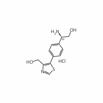 Cl.N[C@@H](CO)c1ccc(-c2scnc2CO)cc1